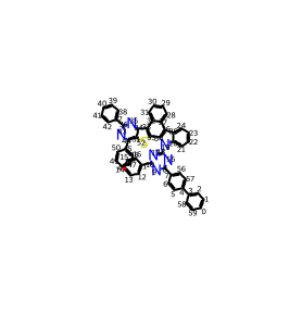 c1ccc(-c2ccc(-c3nc(-c4ccccc4)nc(-n4c5ccccc5c5c6ccccc6c6c7nc(-c8ccccc8)nc(-c8ccccc8)c7sc6c54)n3)cc2)cc1